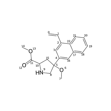 C=Cc1cc(C2(OC)CNC(C(=O)OC)C2)cc2ccccc12